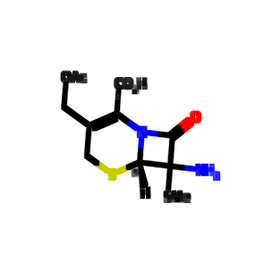 CSC1(N)C(=O)N2C(C(=O)O)=C(COC(C)=O)CS[C@H]21